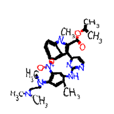 Cc1cc(N(C)CCN(C)C)c([N+](=O)[O-])cc1Nc1nccc(-c2c(C(=O)OC(C)C)n(C)c3ccccc23)n1